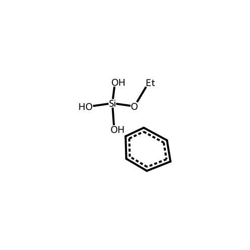 CCO[Si](O)(O)O.c1ccccc1